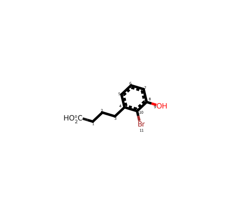 O=C(O)CCCc1cccc(O)c1Br